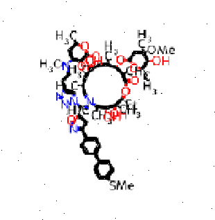 CC[C@H]1OC(=O)[C@H](C)[C@@H](O[C@H]2C[C@@](C)(OC)[C@@H](O)[C@H](C)O2)[C@H](C)[C@@H](O[C@@H]2O[C@H](C)C[C@H](N(C)CCc3cn(C[C@H]4CC(c5ccc(-c6ccc(SC)cc6)cc5)=NO4)nn3)[C@H]2O)[C@](C)(O)C[C@@H](C)CN(C)[C@H](C)[C@@H](O)[C@]1(C)O